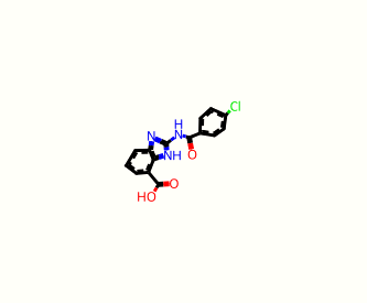 O=C(Nc1nc2cccc(C(=O)O)c2[nH]1)c1ccc(Cl)cc1